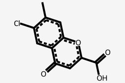 Cc1cc2oc(C(=O)O)cc(=O)c2cc1Cl